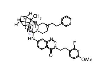 COc1ccc(CCn2cnc3cc(N/C(=N/[C@H]4C[C@@H]5C[C@H]([C@@H]4C)C5(C)C)N4CCN(CCc5ccccc5)CC4)ccc3c2=O)c(F)c1